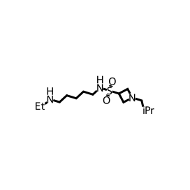 CCNCCCCCNS(=O)(=O)C1CN(CC(C)C)C1